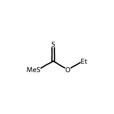 [CH2]SC(=S)OCC